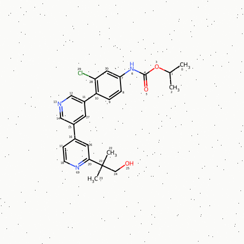 CC(C)OC(=O)Nc1ccc(-c2cncc(-c3ccnc(C(C)(C)CO)c3)c2)c(Cl)c1